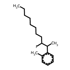 CCCCCCCCC(I)C(C)c1ccccc1C